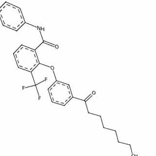 CCCCCCCC(=O)c1cccc(Oc2c(C(=O)Nc3ccccc3)cccc2C(F)(F)F)c1